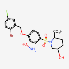 NO.O=C(O)C1CCC(O)CN1S(=O)(=O)c1ccc(OCc2cc(F)ccc2Br)cc1